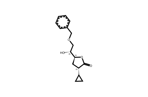 O=C1O[C@H]([C@H](O)COCc2ccccc2)C[C@H]1C1CC1